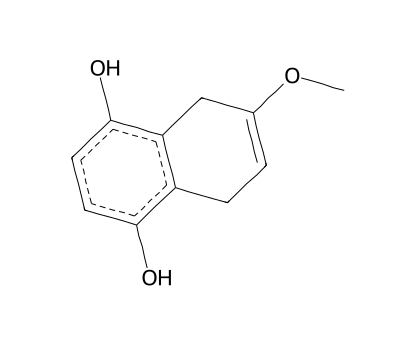 COC1=CCc2c(O)ccc(O)c2C1